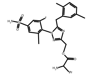 Cc1ccc(C)c(Cc2nc(COC(=O)C(N)C(C)C)nn2-c2c(C)cc(S(N)(=O)=O)cc2F)c1